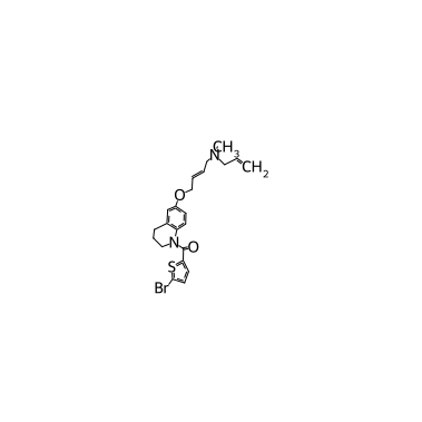 C=CCN(C)CC=CCOc1ccc2c(c1)CCCN2C(=O)c1ccc(Br)s1